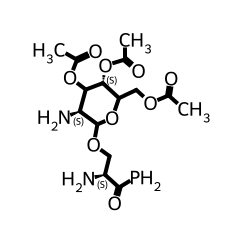 CC(=O)OCC1OC(OC[C@H](N)C(=O)P)[C@@H](N)C(OC(C)=O)[C@@H]1OC(C)=O